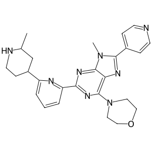 CC1CC(c2cccc(-c3nc(N4CCOCC4)c4nc(-c5ccncc5)n(C)c4n3)n2)CCN1